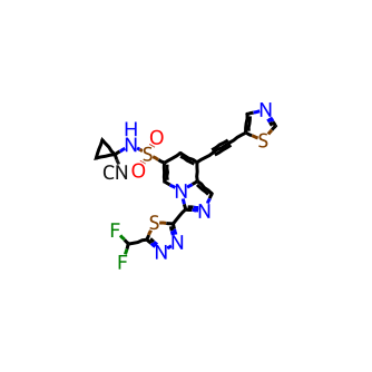 N#CC1(NS(=O)(=O)c2cc(C#Cc3cncs3)c3cnc(-c4nnc(C(F)F)s4)n3c2)CC1